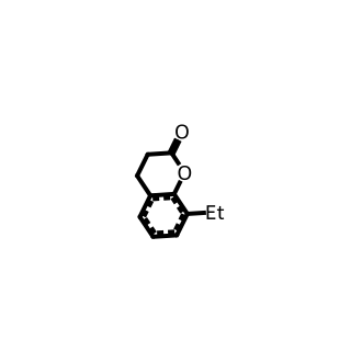 CCc1cccc2c1OC(=O)CC2